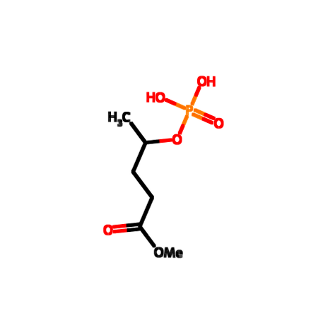 COC(=O)CCC(C)OP(=O)(O)O